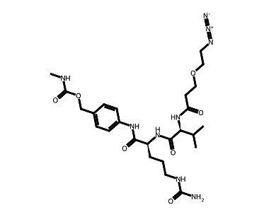 CNC(=O)OCc1ccc(NC(=O)[C@H](CCCNC(N)=O)NC(=O)[C@@H](NC(=O)CCOCCN=[N+]=[N-])C(C)C)cc1